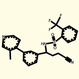 Cc1cnccc1-c1cccc(C(CCC#N)NS(=O)(=O)c2ccccc2C(F)(F)F)c1